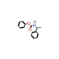 C[C@H](NC(=O)Oc1ccccc1)c1ccccc1